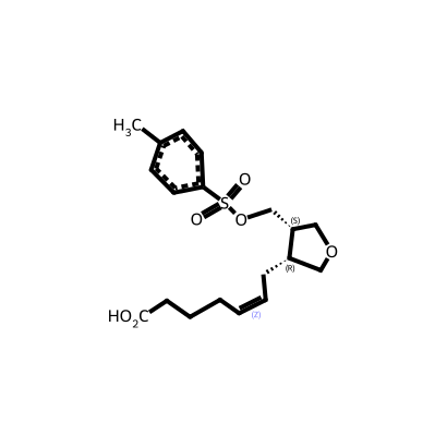 Cc1ccc(S(=O)(=O)OC[C@@H]2COC[C@@H]2C/C=C\CCCC(=O)O)cc1